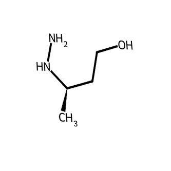 C[C@H](CCO)NN